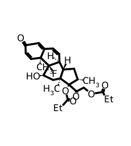 CCC(=O)OCC(=O)[C@]1(OC(=O)CC)[C@@H](C)C[C@H]2[C@@H]3C=CC4=CC(=O)C=C[C@]4(C)[C@@]3(F)[C@@H](O)C[C@@]21C